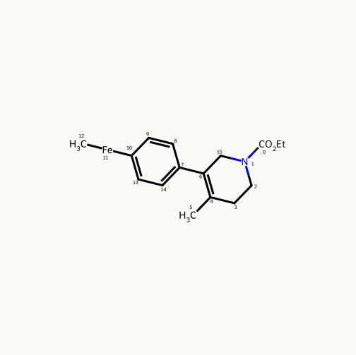 CCOC(=O)N1CCC(C)=C(c2cc[c]([Fe][CH3])cc2)C1